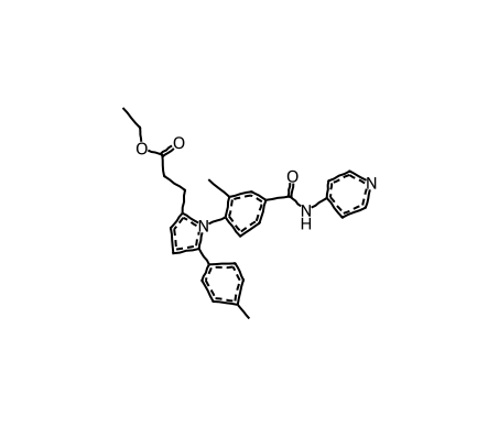 CCOC(=O)CCc1ccc(-c2ccc(C)cc2)n1-c1ccc(C(=O)Nc2ccncc2)cc1C